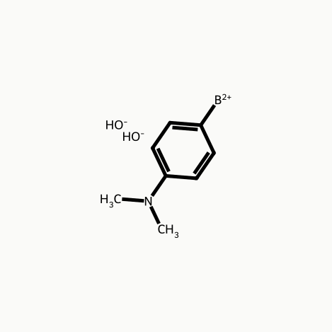 [B+2]c1ccc(N(C)C)cc1.[OH-].[OH-]